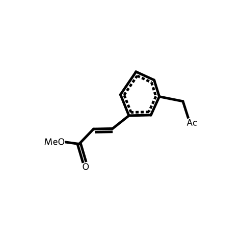 COC(=O)C=Cc1cccc(CC(C)=O)c1